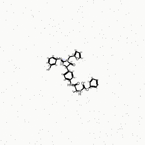 C[C@H](NC(=O)Oc1ccccc1)C(=O)Nc1ccc(C2S/C(=N\c3cccc(F)c3)N(Cc3ccco3)C2=O)cc1